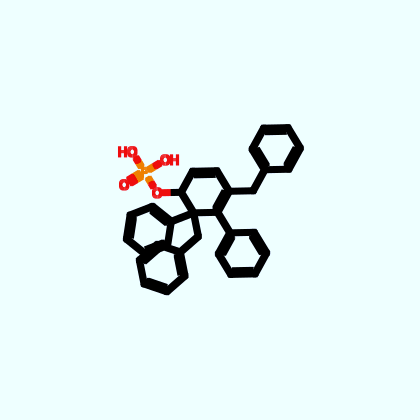 O=P(O)(O)OC1C=CC(Cc2ccccc2)=C(c2ccccc2)C1(Cc1ccccc1)c1ccccc1